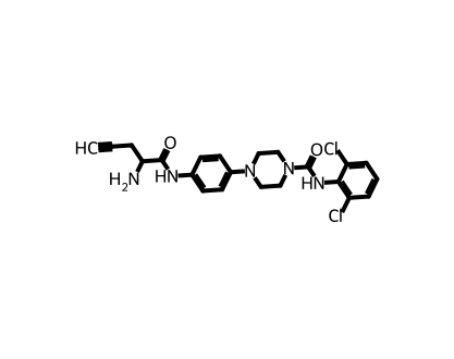 C#CCC(N)C(=O)Nc1ccc(N2CCN(C(=O)Nc3c(Cl)cccc3Cl)CC2)cc1